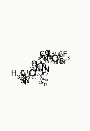 C[C@@H]1Cc2c(n3ncc(CC4CCC4)c3n(-c3ccc(-c4nncn4C)cc3)c2=O)CN1C(=O)c1ccc(Br)c(C(F)(F)F)c1